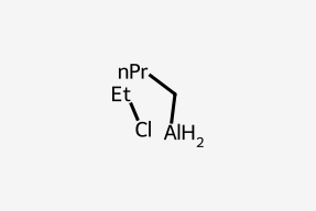 CCC[CH2][AlH2].[CH2]CCl